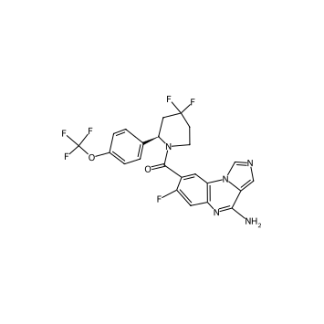 Nc1nc2cc(F)c(C(=O)N3CCC(F)(F)C[C@@H]3c3ccc(OC(F)(F)F)cc3)cc2n2cncc12